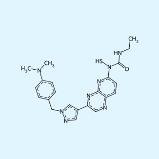 CCNC(=O)N(S)c1ccc2ncc(-c3cnn(Cc4ccc(N(C)C)cc4)c3)nc2n1